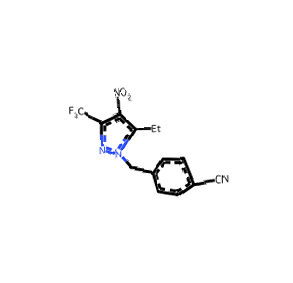 CCc1c([N+](=O)[O-])c(C(F)(F)F)nn1Cc1ccc(C#N)cc1